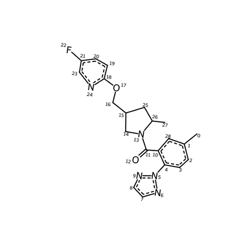 Cc1ccc(-n2nccn2)c(C(=O)N2CC(COc3ccc(F)cn3)CC2C)c1